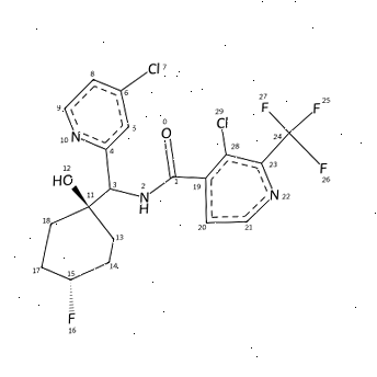 O=C(NC(c1cc(Cl)ccn1)[C@]1(O)CC[C@H](F)CC1)c1ccnc(C(F)(F)F)c1Cl